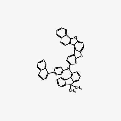 CC1(C)c2ccccc2-c2c(N(c3ccc(-c4cccc5ccccc45)cc3)c3ccc4c(c3)sc3ccc5oc6c7ccccc7ccc6c5c34)cccc21